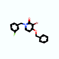 O=c1c(Br)c(OCc2ccccc2)ccn1Cc1cccc(F)c1